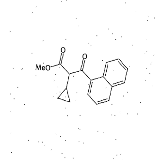 COC(=O)C(C(=O)c1cccc2ccccc12)C1CC1